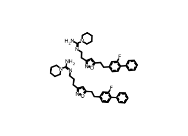 NC(=NCCCc1cc(CCc2ccc(-c3ccccc3)c(F)c2)on1)N1CCCCC1.NC(=NCCc1cc(CCc2ccc(-c3ccccc3)c(F)c2)on1)N1CCCCC1